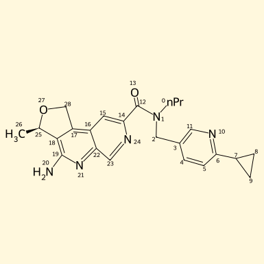 CCCN(Cc1ccc(C2CC2)nc1)C(=O)c1cc2c3c(c(N)nc2cn1)[C@@H](C)OC3